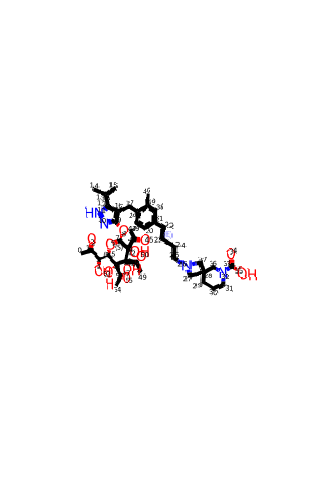 CC(=O)C(O)[C@H]1O[C@@H](Oc2n[nH]c(C(C)C)c2Cc2ccc(/C=C/CCN3CC4(CCCN(C(=O)O)C4)C3)cc2C)[C@@](O)(C(C)=O)[C@](O)(C(C)=O)[C@@]1(O)C(C)=O